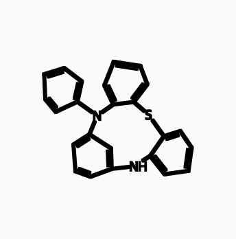 c1ccc(N2c3cccc(c3)Nc3ccccc3Sc3ccccc32)cc1